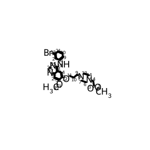 COC(=O)CN1CCN(CCCOc2cc3c(Nc4cccc(Br)c4)ncnc3cc2OC)CC1